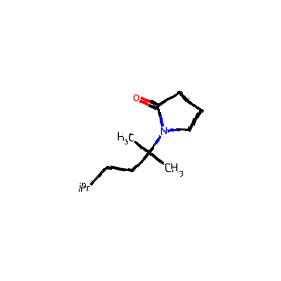 CC(C)CCC(C)(C)N1CCCC1=O